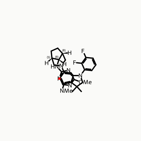 CNc1nc(N[C@H]2[C@@H]3CC[C@H]2CN(c2ccnc(OC)c2)C3)nc2c1C(C)(C)CN2c1cccc(F)c1F